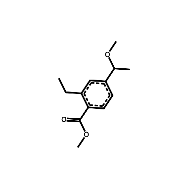 CCc1cc(C(C)OC)ccc1C(=O)OC